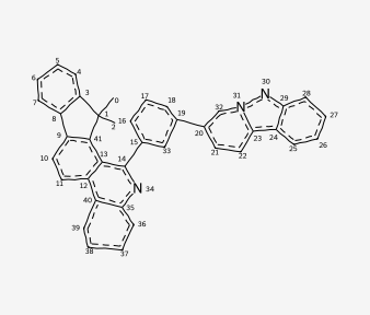 CC1(C)c2ccccc2-c2ccc3c(c(-c4cccc(-c5ccc6c7ccccc7nn6c5)c4)nc4ccccc43)c21